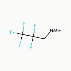 C[N]CC(F)(F)C(F)(F)F